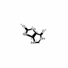 O=C1NCNc2[nH]c(=O)[nH]c21